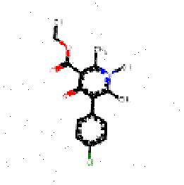 CCOC(=O)c1c(C)n(C)c(C)c(-c2ccc(Cl)cc2)c1=O